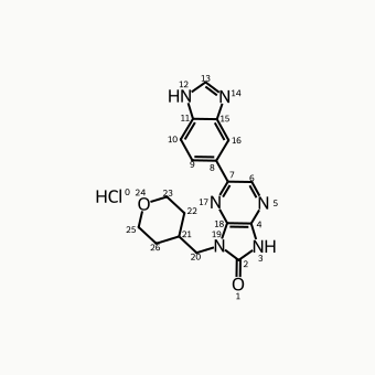 Cl.O=c1[nH]c2ncc(-c3ccc4[nH]cnc4c3)nc2n1CC1CCOCC1